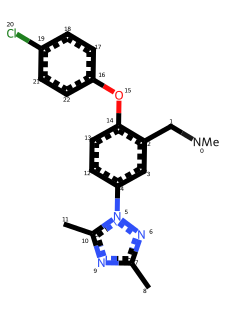 CNCc1cc(-n2nc(C)nc2C)ccc1Oc1ccc(Cl)cc1